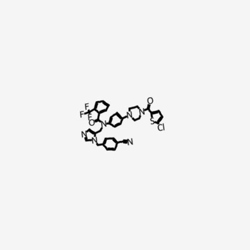 N#Cc1ccc(Cn2cncc2CN(C(=O)c2ccccc2C(F)(F)F)c2ccc(N3CCN(C(=O)c4ccc(Cl)s4)CC3)cc2)cc1